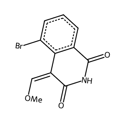 COC=C1C(=O)NC(=O)c2cccc(Br)c21